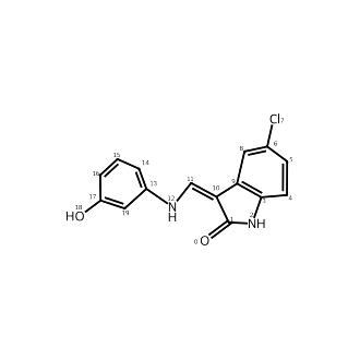 O=C1Nc2ccc(Cl)cc2C1=CNc1cccc(O)c1